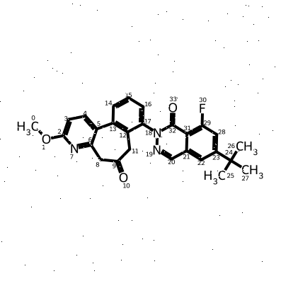 COc1ccc2c(n1)CC(=O)Cc1c-2cccc1-n1ncc2cc(C(C)(C)C)cc(F)c2c1=O